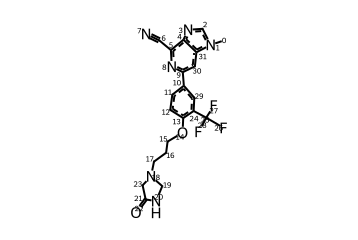 Cn1cnc2c(C#N)nc(-c3ccc(OCCCN4CNC(=O)C4)c(C(F)(F)F)c3)cc21